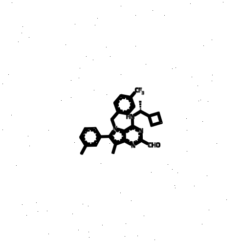 Cc1cccc(-c2c(C)c3nc(C=O)nc(N[C@H](C)C4CCC4)c3n2Cc2ccc(C(F)(F)F)cc2)c1